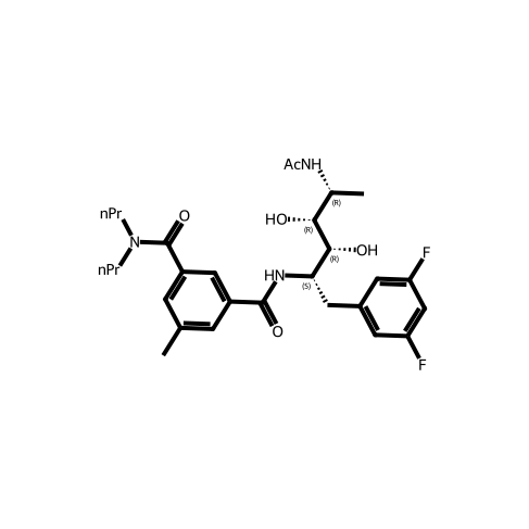 CCCN(CCC)C(=O)c1cc(C)cc(C(=O)N[C@@H](Cc2cc(F)cc(F)c2)[C@@H](O)[C@H](O)[C@@H](C)NC(C)=O)c1